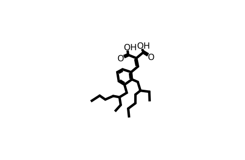 CCCCC(CC)Cc1cccc(C=C(C(=O)O)C(=O)O)c1CC(CC)CCCC